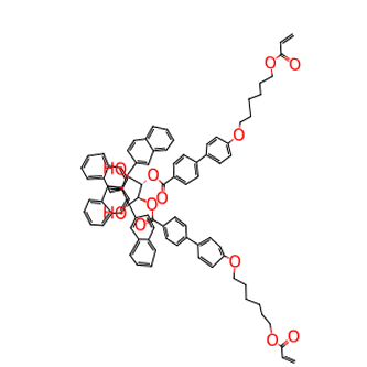 C=CC(=O)OCCCCCCOc1ccc(-c2ccc(C(=O)O[C@H]([C@@H](OC(=O)c3ccc(-c4ccc(OCCCCCCOC(=O)C=C)cc4)cc3)C(O)(c3ccc4ccccc4c3)c3ccc4ccccc4c3)C(O)(c3ccc4ccccc4c3)c3ccc4ccccc4c3)cc2)cc1